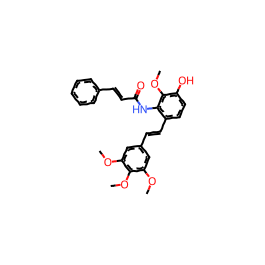 COc1cc(/C=C/c2ccc(O)c(OC)c2NC(=O)/C=C/c2ccccc2)cc(OC)c1OC